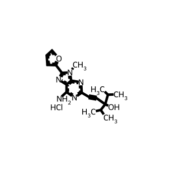 CC(C)C(O)(C#Cc1nc(N)c2nc(-c3ccco3)n(C)c2n1)C(C)C.Cl